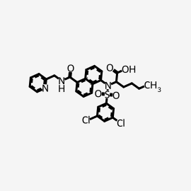 CCCCC(C(=O)O)N(c1cccc2c(C(=O)NCc3ccccn3)cccc12)S(=O)(=O)c1cc(Cl)cc(Cl)c1